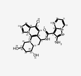 CC(NC(=O)c1c(N)nn2cccnc12)c1cc(Cl)c2cncn2c1N1C[C@H](O)C[C@@H](O)C1